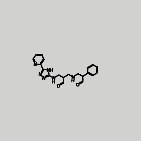 O=CC(CNCC(C=O)c1ccccc1)CNc1nnc(-c2ccccn2)[nH]1